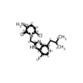 CC(C)Cc1ncc(F)c2[nH]c(Cn3c(Cl)ccc(N)c3=O)nc12